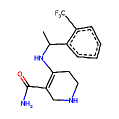 CC(NC1=C(C(N)=O)CNCC1)c1ccccc1C(F)(F)F